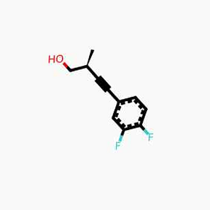 C[C@@H](C#Cc1ccc(F)c(F)c1)CO